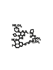 C#Cc1c(F)ccc2cc(OCOC)cc(C(=O)c3nc4nc(OC[C@@H]5CCCN5C(=O)OC(C)(C)C)nc(N5CCC[C@@](C)(O)C5)c4n3C3CCC3)c12